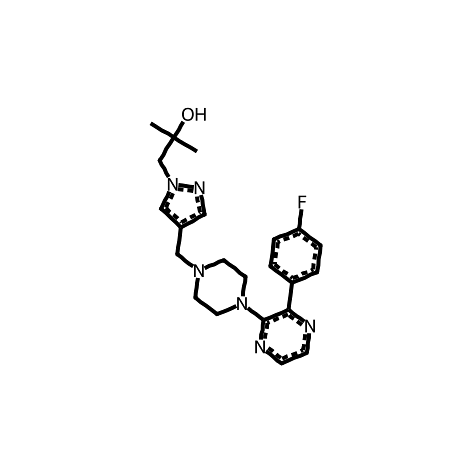 CC(C)(O)Cn1cc(CN2CCN(c3nccnc3-c3ccc(F)cc3)CC2)cn1